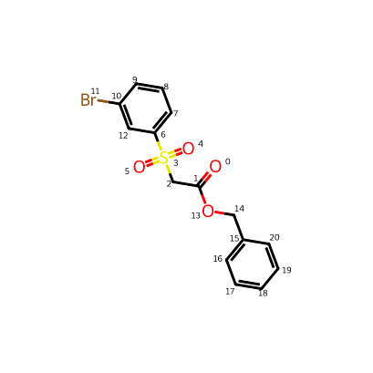 O=C(CS(=O)(=O)c1cccc(Br)c1)OCc1ccccc1